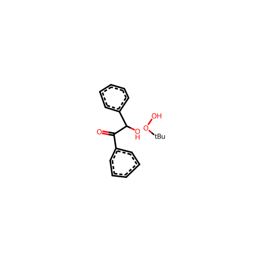 CC(C)(C)OO.O=C(c1ccccc1)C(O)c1ccccc1